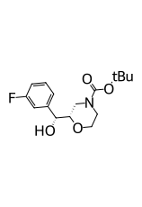 CC(C)(C)OC(=O)N1CCO[C@H]([C@H](O)c2cccc(F)c2)C1